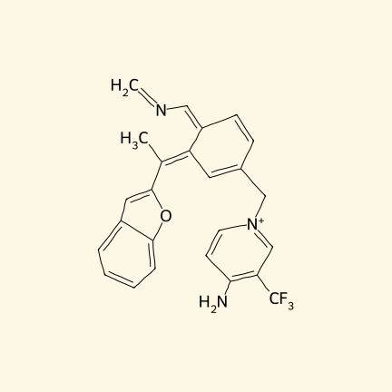 C=N/C=c1/ccc(C[n+]2ccc(N)c(C(F)(F)F)c2)c/c1=C(/C)c1cc2ccccc2o1